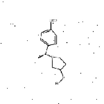 CCOC1CCN([C@@H](C)c2ccc(OC)cc2)C1